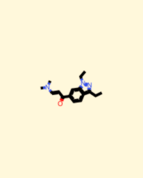 CCc1nn(CC)c2cc(C(=O)C=CN(C)C)ccc12